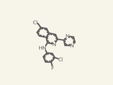 Fc1ccc(Nc2nc(-c3cnccn3)cc3cc(Cl)ccc23)cc1Cl